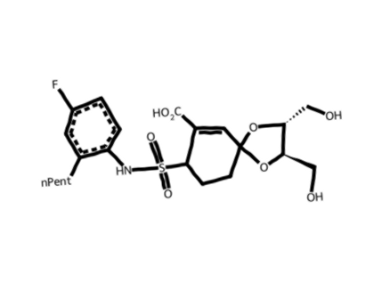 CCCCCc1cc(F)ccc1NS(=O)(=O)C1CCC2(C=C1C(=O)O)O[C@H](CO)[C@@H](CO)O2